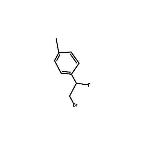 Cc1ccc(C(F)CBr)cc1